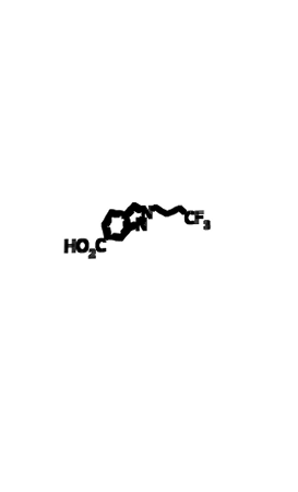 O=C(O)c1ccc2cn(CCCC(F)(F)F)nc2c1